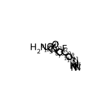 NCC1CN(c2ccc(-c3ccc(Cn4cnnn4)cc3)c(F)c2)C(=O)O1